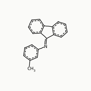 Cc1cccc(N=C2c3ccccc3-c3ccccc32)c1